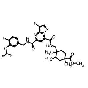 COC(=O)C1(C)CCC(C)(CNC(=O)c2cc(C(=O)NCc3ccc(F)c(OC(F)F)c3)nc3c(F)cnn23)C(C)C1